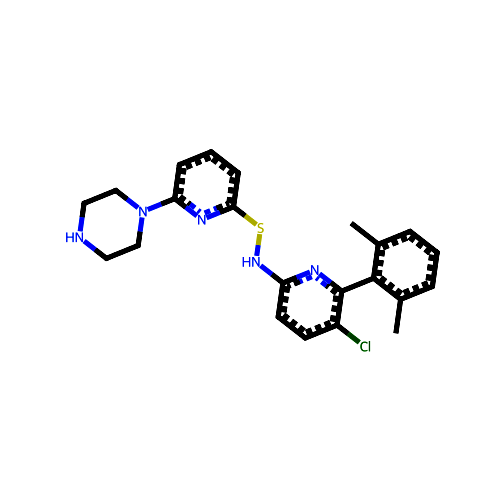 Cc1cccc(C)c1-c1nc(NSc2cccc(N3CCNCC3)n2)ccc1Cl